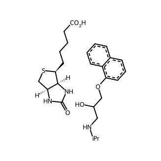 CC(C)NCC(O)COc1cccc2ccccc12.O=C(O)CCCC[C@@H]1SC[C@@H]2NC(=O)N[C@@H]21